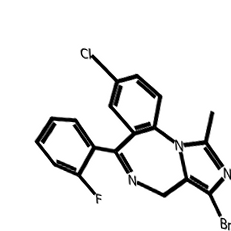 Cc1nc(Br)c2n1-c1ccc(Cl)cc1C(c1ccccc1F)=NC2